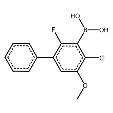 COc1cc(-c2ccccc2)c(F)c(B(O)O)c1Cl